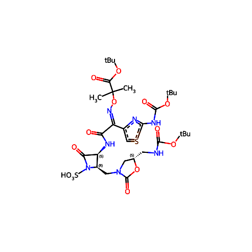 CC(C)(C)OC(=O)NC[C@H]1CN(C[C@@H]2[C@H](NC(=O)C(=NOC(C)(C)C(=O)OC(C)(C)C)c3csc(NC(=O)OC(C)(C)C)n3)C(=O)N2S(=O)(=O)O)C(=O)O1